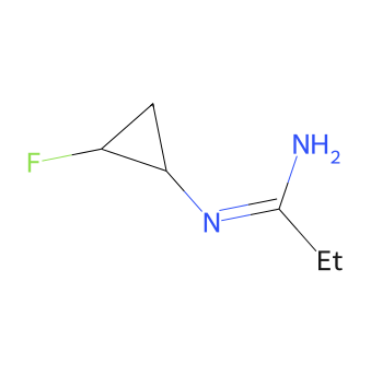 CC/C(N)=N/C1CC1F